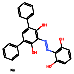 Oc1cccc(O)c1N=Nc1c(O)c(-c2ccccc2)cc(-c2ccccc2)c1O.[Na]